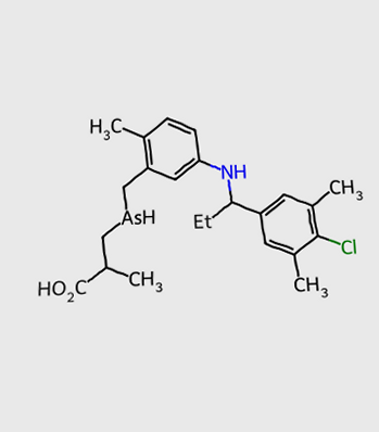 CCC(Nc1ccc(C)c(C[AsH]CC(C)C(=O)O)c1)c1cc(C)c(Cl)c(C)c1